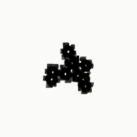 c1ccc(-c2nc(-c3ccccc3)nc(-c3cc(-c4cccc5ccccc45)ccc3-c3ccc4sc5cccnc5c4c3)n2)cc1